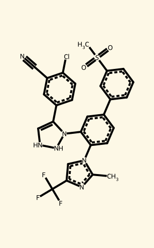 Cc1nc(C(F)(F)F)cn1-c1ccc(-c2cccc(S(C)(=O)=O)c2)cc1N1NNC=C1c1ccc(Cl)c(C#N)c1